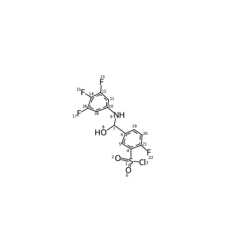 O=S(=O)(Cl)c1cc(C(O)Nc2cc(F)c(F)c(F)c2)ccc1F